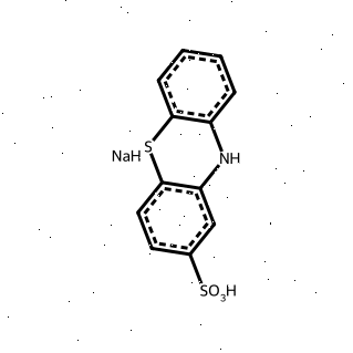 O=S(=O)(O)c1ccc2c(c1)Nc1ccccc1S2.[NaH]